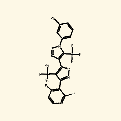 [2H]C([2H])(I)c1c(-c2c(F)cccc2Cl)noc1-c1cnn(-c2cccc(Cl)c2)c1C(F)(F)F